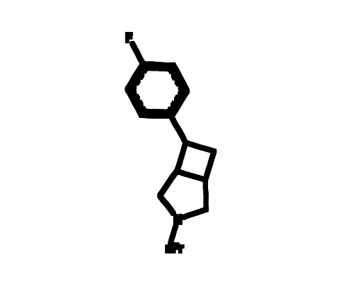 CCCN1CC2CC(c3ccc(F)cc3)C2C1